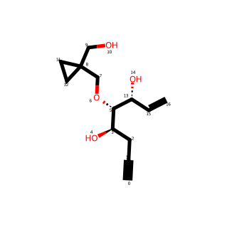 C#CC[C@@H](O)[C@H](OCC1(CO)CC1)[C@H](O)C=C